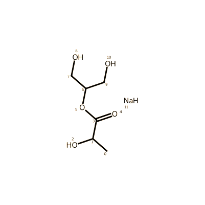 CC(O)C(=O)OC(CO)CO.[NaH]